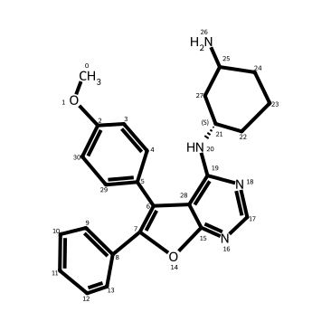 COc1ccc(-c2c(-c3ccccc3)oc3ncnc(N[C@H]4CCCC(N)C4)c23)cc1